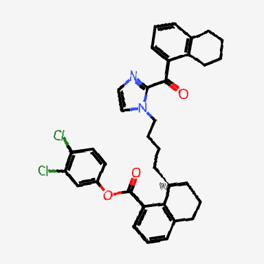 O=C(Oc1ccc(Cl)c(Cl)c1)c1cccc2c1[C@@H](CCCCn1ccnc1C(=O)c1cccc3c1CCCC3)CCC2